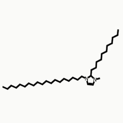 CCCCCCCCCCCCCCCCCCCN1C=CN(C)C1CCCCCCCCCCC